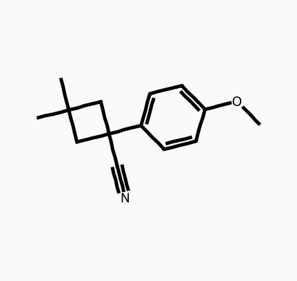 COc1ccc(C2(C#N)CC(C)(C)C2)cc1